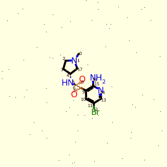 CN1CC[C@@H](NS(=O)(=O)c2cc(Br)cnc2N)C1